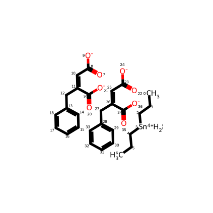 CC[CH2][SnH2+4][CH2]CC.O=C([O-])/C=C(/Cc1ccccc1)C(=O)[O-].O=C([O-])/C=C(/Cc1ccccc1)C(=O)[O-]